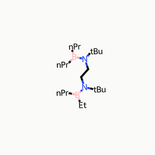 CCCB(CC)N(CCN(B(CCC)CCC)C(C)(C)C)C(C)(C)C